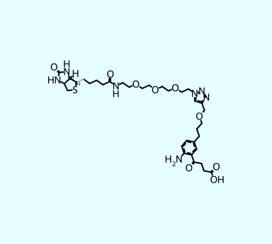 Nc1ccc(CCCOCc2cn(CCOCCOCCOCCNC(=O)CCCC[C@@H]3SCC4NC(=O)N[C@@H]43)nn2)cc1C(=O)CCC(=O)O